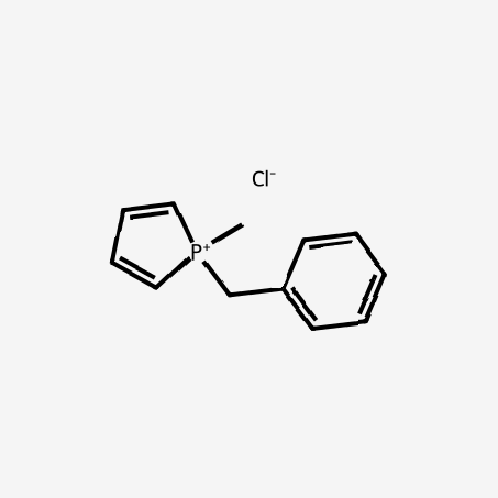 C[P+]1(Cc2ccccc2)C=CC=C1.[Cl-]